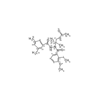 CCc1c(OC)cccc1C(=O)N(NC(=O)c1cc(C)cc(C)c1)C(C)(C)COC(C)=O